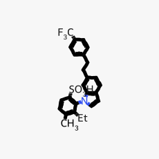 CCc1c(C)ccc(S(=O)(=O)O)c1-n1ccc2ccc(CCc3ccc(C(F)(F)F)cc3)cc21